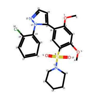 COc1cc(OC)c(S(=O)(=O)N2CCCCC2)cc1-c1ccnn1-c1ccccc1Cl